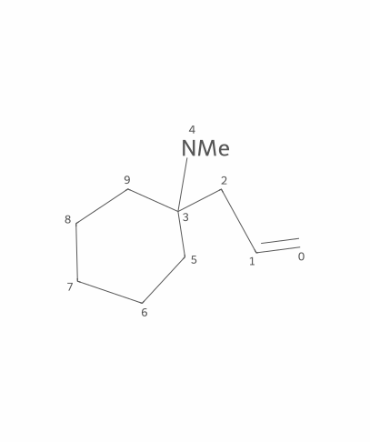 C=CCC1(NC)CCCCC1